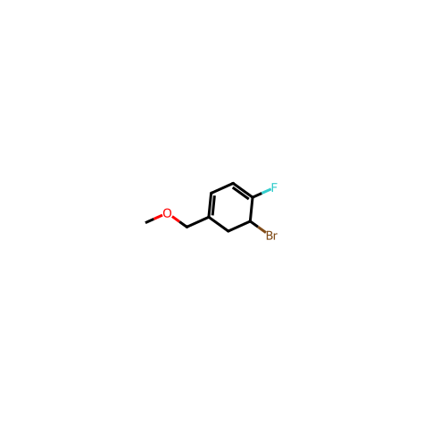 COCC1=CC=C(F)C(Br)C1